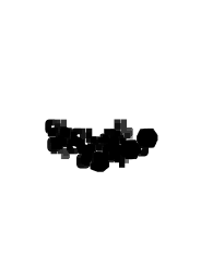 CCN1CCN(C(C)(C)C/C=C(\C#N)C(=O)N2CCC[C@@H](n3nc(-c4ccc(Oc5ccccc5)cc4F)c4c(N)ncnc43)C2)CC1=O